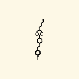 C=CCCCC1COC(C2CCC(CCc3ccc(F)cc3)CC2)OC1